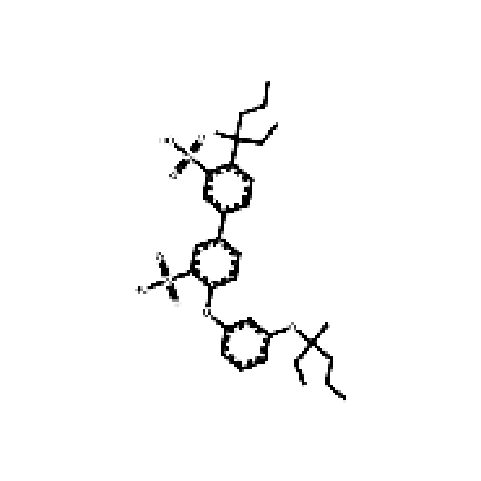 CCCC(C)(CC)Oc1cccc(Oc2ccc(-c3ccc(C(C)(CC)CCC)c(S(=O)(=O)O)c3)cc2S(=O)(=O)O)c1